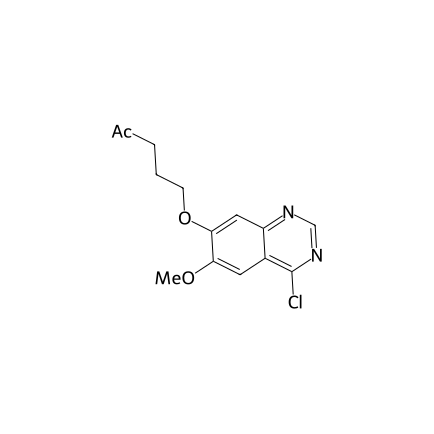 COc1cc2c(Cl)ncnc2cc1OCCCC(C)=O